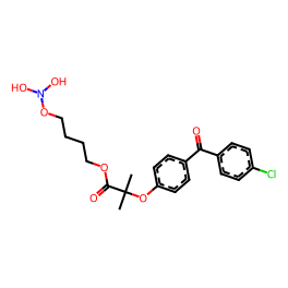 CC(C)(Oc1ccc(C(=O)c2ccc(Cl)cc2)cc1)C(=O)OCCCCON(O)O